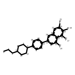 CCCC1CCC(c2ccc(-c3cc(F)c4c(F)c(F)c(F)cc4c3)cc2)CC1